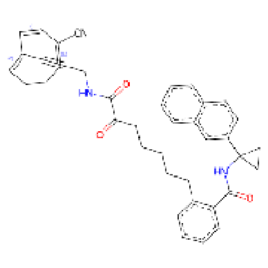 N#CC1=C/CC/C=C(C#CCNC(=O)C(=O)CCCCCc2ccccc2C(=O)NC2(c3ccc4ccccc4c3)CC2)/C=C\1